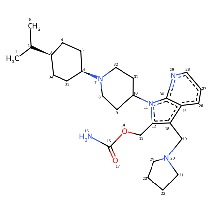 CC(C)[C@H]1CC[C@@H](N2CCC(n3c(COC(N)=O)c(CN4CCCC4)c4cccnc43)CC2)CC1